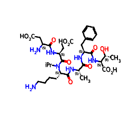 CC(C)N(C(=O)[C@H](CC(=O)O)NC(=O)[C@@H](N)CC(=O)O)[C@@H](CCCCN)C(=O)N[C@@H](C)C(=O)N[C@@H](Cc1ccccc1)C(=O)N[C@H](C(=O)O)[C@@H](C)O